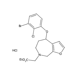 CCOC(=O)CN1CCC(Oc2cccc(Br)c2Cl)c2ccoc2C1.Cl